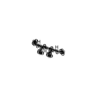 O=C(CCC(=O)ON1C(=O)CCC1=O)NCCCCC(NC(=O)CCC(=O)ON1C(=O)CCC1=O)C(=O)NCCCCCNC(=O)C(CCCCNC(=O)CCC(=O)ON1C(=O)CCC1=O)NC(=O)CCC(=O)ON1C(=O)CCC1=O